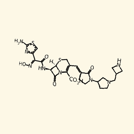 Nc1nc(C(=NO)C(=O)N[C@@H]2C(=O)N3C(C(=O)O)=C(C=C4CCN(C5CCN(CC6CNC6)C5)C4=O)CS[C@H]23)cs1